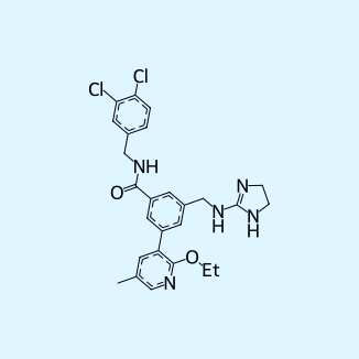 CCOc1ncc(C)cc1-c1cc(CNC2=NCCN2)cc(C(=O)NCc2ccc(Cl)c(Cl)c2)c1